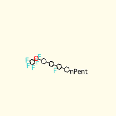 CCCCCC1CCC(c2ccc(-c3ccc(C4CCC(C(F)(F)Oc5cc(F)c(F)c(F)c5)CC4)cc3)c(F)c2)CC1